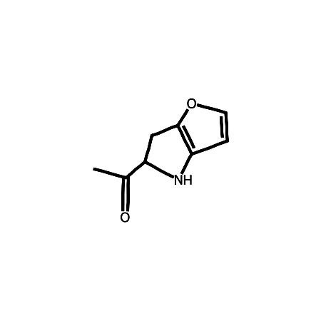 CC(=O)C1Cc2occc2N1